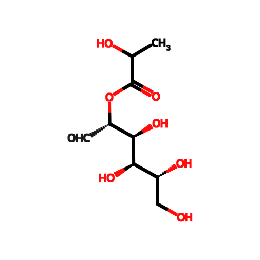 CC(O)C(=O)O[C@@H](C=O)[C@@H](O)[C@H](O)[C@H](O)CO